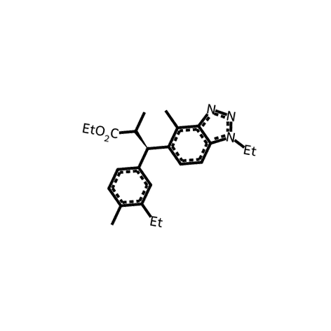 CCOC(=O)C(C)[C@H](c1ccc(C)c(CC)c1)c1ccc2c(nnn2CC)c1C